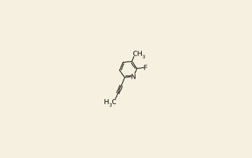 CC#Cc1ccc(C)c(F)n1